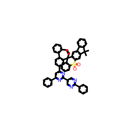 CC1(C)c2ccccc2-c2cc3c(cc21)S(=O)(=O)c1ccccc1C31c2ccccc2-c2ccccc2-c2ccc(-c3cc(-c4ccccc4)nc(-c4cnc(-c5ccccc5)nc4)n3)cc21